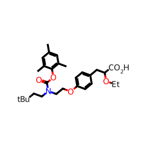 CCOC(Cc1ccc(OCCN(CCC(C)(C)C)C(=O)Oc2c(C)cc(C)cc2C)cc1)C(=O)O